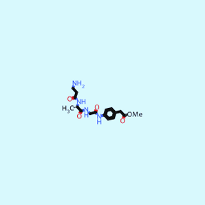 COC(=O)Cc1ccc(NC(=O)CNC(=O)[C@H](C)NC(=O)CCN)cc1